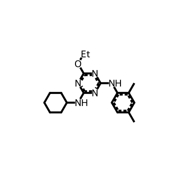 CCOc1nc(Nc2ccc(C)cc2C)nc(NC2CCCCC2)n1